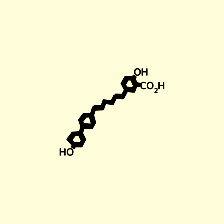 O=C(O)c1cc(/C=C/CC/C=C/c2ccc(-c3ccc(O)cc3)cc2)ccc1O